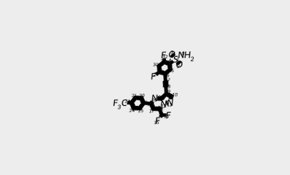 NS(=O)(=O)c1cc(C#Cc2cnn3c(C(F)F)cc(-c4ccc(C(F)(F)F)cc4)nc23)c(F)cc1F